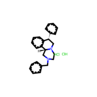 Cl.Cl.c1ccc(CN2CCN3C[C@@H](c4ccccc4)c4ccccc4[C@H]3C2)cc1